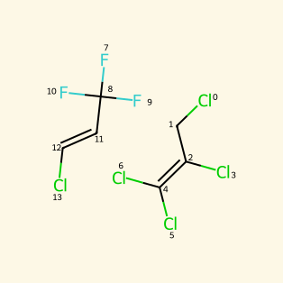 ClCC(Cl)=C(Cl)Cl.FC(F)(F)C=CCl